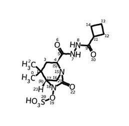 CC1(C)C[C@@H](C(=O)NNC(=O)C2CCC2)N2C[C@@H]1N(OS(=O)(=O)O)C2=O